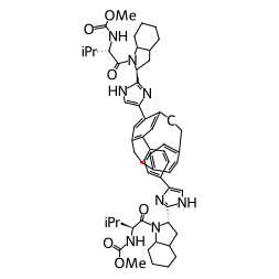 COC(=O)N[C@H](C(=O)N1C2CCCCC2C[C@H]1c1nc(-c2ccc(-c3cc4c(-c5c[nH]c([C@@H]6CC7CCCCC7N6C(=O)[C@@H](NC(=O)OC)C(C)C)n5)cc3CCc3ccc(cc3)CC4)cc2)c[nH]1)C(C)C